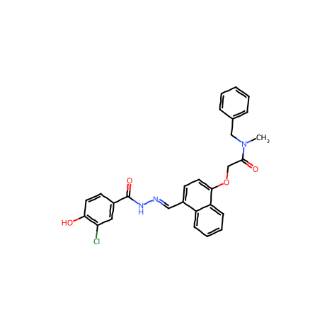 CN(Cc1ccccc1)C(=O)COc1ccc(/C=N/NC(=O)c2ccc(O)c(Cl)c2)c2ccccc12